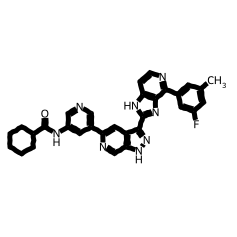 Cc1cc(F)cc(-c2nccc3[nH]c(-c4n[nH]c5cnc(-c6cncc(NC(=O)C7CCCCC7)c6)cc45)nc23)c1